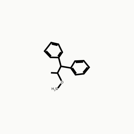 CC(O[SiH3])C(c1ccccc1)c1ccccc1